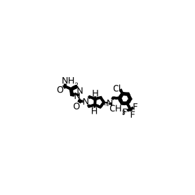 CN(Cc1cc(C(F)(F)F)ccc1Cl)[C@H]1C[C@@H]2CN(C(=O)n3cc(C(N)=O)cn3)C[C@@H]2C1